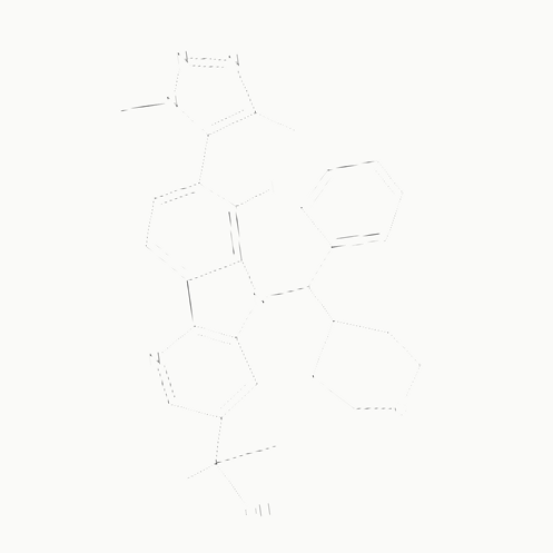 Cc1nnn(C)c1-c1ccc2c3ncc(C(C)(C)O)cc3n(C(c3ccccc3)C3CCOCC3)c2c1F